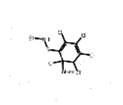 CCCCCCC1(Cl)C(SNCC)=C(Cl)C(Cl)=C(Cl)C1Cl